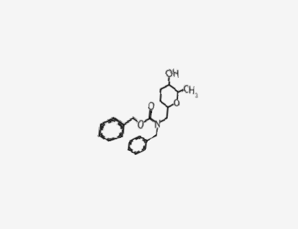 CC1OC(CN(Cc2ccccc2)C(=O)OCc2ccccc2)CCC1O